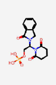 O=C1c2ccccc2CN1C(COP(=O)(O)O)N1C(=O)CCCC1=O